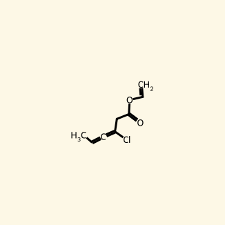 C=COC(=O)CC(Cl)=C=CC